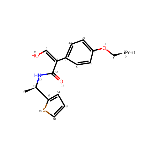 CCC[C@H](C)COc1ccc(C(=CO)C(=O)N[C@H](C)c2cccs2)cc1